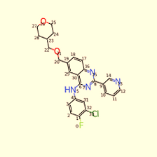 Fc1ccc(Nc2nc(-c3cccnc3)nc3ccc(COCC4CCOCC4)cc23)cc1Cl